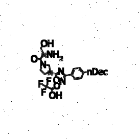 CCCCCCCCCCc1ccc(-c2noc([C@@H]3CCN(C(=O)[C@@H](N)CO)C3)n2)cc1.O=C(O)C(F)(F)F